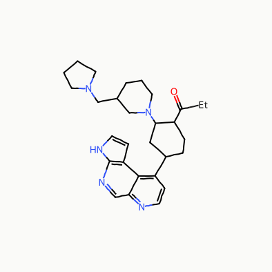 CCC(=O)C1CCC(c2ccnc3cnc4[nH]ccc4c23)CC1N1CCCC(CN2CCCC2)C1